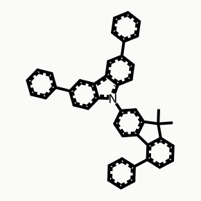 CC1(C)c2cc(-n3c4ccc(-c5ccccc5)cc4c4cc(-c5ccccc5)ccc43)ccc2-c2c(-c3ccccc3)cccc21